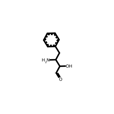 NC(Cc1ccccc1)C(O)[C]=O